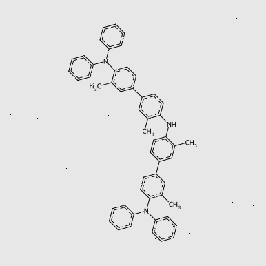 Cc1cc(-c2ccc(N(c3ccccc3)c3ccccc3)c(C)c2)ccc1Nc1ccc(-c2ccc(N(c3ccccc3)c3ccccc3)c(C)c2)cc1C